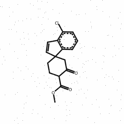 COC(=O)C1CCC2(C=Cc3c(Cl)cccc32)CC1=O